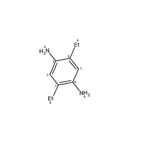 CCc1cc(N)c(CC)cc1N